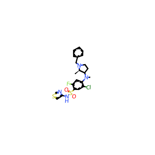 C[C@@H]1C(N(C)c2cc(F)c(S(=O)(=O)Nc3cscn3)cc2Cl)CCN1Cc1ccccc1